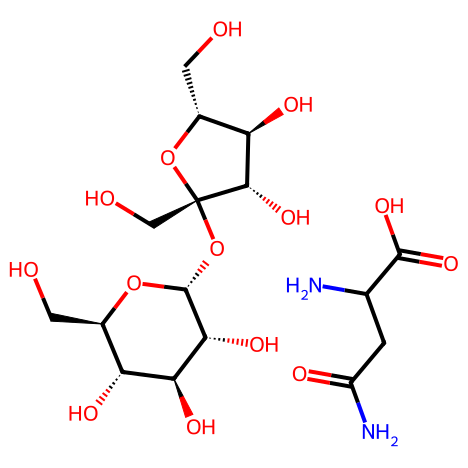 NC(=O)CC(N)C(=O)O.OC[C@H]1O[C@@](CO)(O[C@H]2O[C@H](CO)[C@@H](O)[C@H](O)[C@H]2O)[C@@H](O)[C@@H]1O